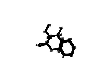 CCN1C(=O)Cc2ccccc2C1C